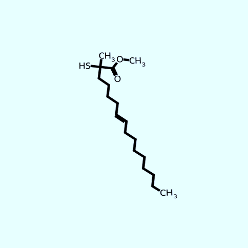 CCCCCCCCC=CCCCCC(C)(S)C(=O)OC